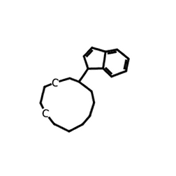 C1=CC(C2CCCCCCCCCCC2)c2ccccc21